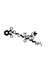 CC(C)(C)OC(=O)N[C@H](CCCCN)C(=O)NCCOCCON1C(=O)c2ccccc2C1=O